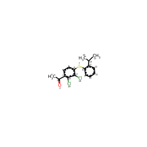 CC(=O)c1ccc(Sc2ccccc2C(C)C)c(Cl)c1Cl